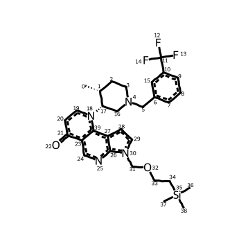 C[C@@H]1CCN(Cc2cccc(C(F)(F)F)c2)C[C@@H]1n1ccc(=O)c2cnc3c(ccn3COCC[Si](C)(C)C)c21